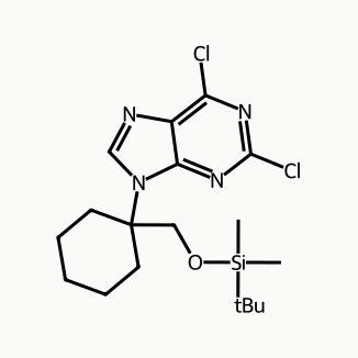 CC(C)(C)[Si](C)(C)OCC1(n2cnc3c(Cl)nc(Cl)nc32)CCCCC1